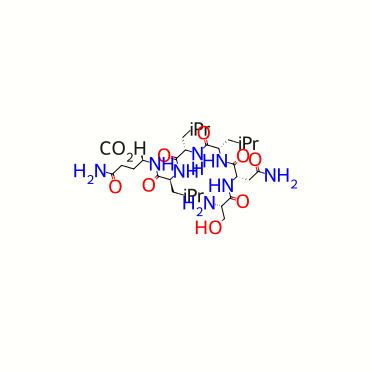 CC(C)C[C@H](NC(=O)[C@H](CC(C)C)NC(=O)[C@H](CC(C)C)NC(=O)[C@H](CC(N)=O)NC(=O)[C@@H](N)CO)C(=O)N[C@@H](CCC(N)=O)C(=O)O